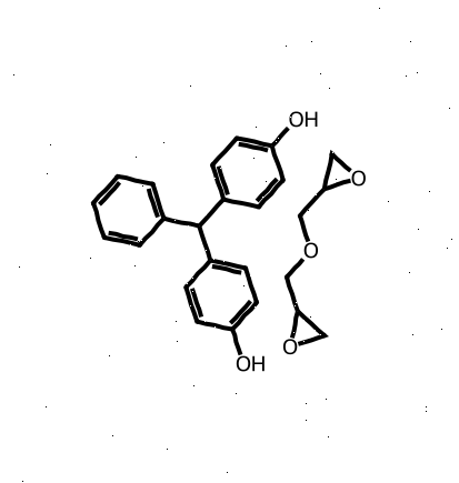 C(OCC1CO1)C1CO1.Oc1ccc(C(c2ccccc2)c2ccc(O)cc2)cc1